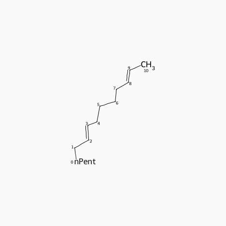 [CH2]CCCCCC=CCCCCC=CC